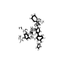 Cc1cc(C)c(NC(=O)Nc2cc(-c3ccc(CN4CCCC4)cc3)ccc2C(=O)N[C@H](C(=O)O)C2(C(C)(C)C)CCCCC2)c(C)c1